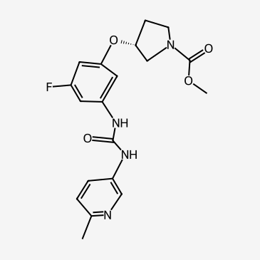 COC(=O)N1CC[C@@H](Oc2cc(F)cc(NC(=O)Nc3ccc(C)nc3)c2)C1